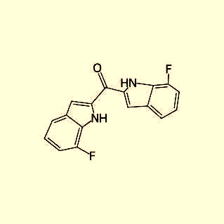 O=C(c1cc2cccc(F)c2[nH]1)c1cc2cccc(F)c2[nH]1